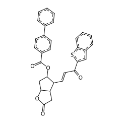 O=C1CC2C(CC(OC(=O)c3ccc(-c4ccccc4)cc3)C2C=CC(=O)c2cc3ccccc3s2)O1